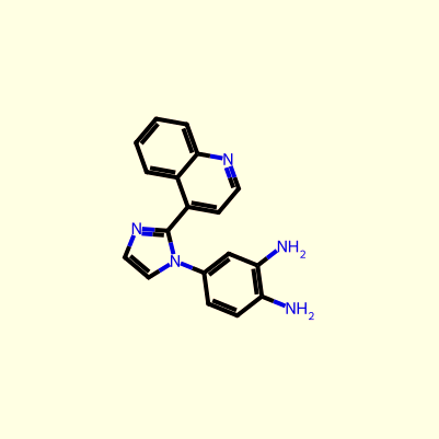 Nc1ccc(-n2ccnc2-c2ccnc3ccccc23)cc1N